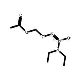 CCN(CC)/[N+]([O-])=N\OCOC(C)=O